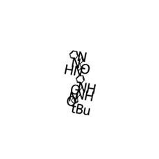 CC(C)(C)c1cc(NC(=O)Nc2ccc(NC(=O)c3cnc4ccccc4n3)cc2)no1